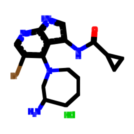 Cl.NC1CCCCN(c2c(Br)cnc3[nH]cc(NC(=O)C4CC4)c23)C1